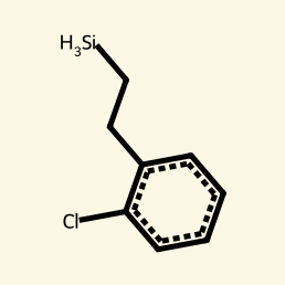 [SiH3]CCc1ccccc1Cl